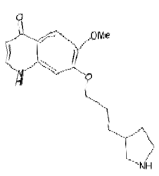 COc1cc2c(=O)cc[nH]c2cc1OCCCC1CCNC1